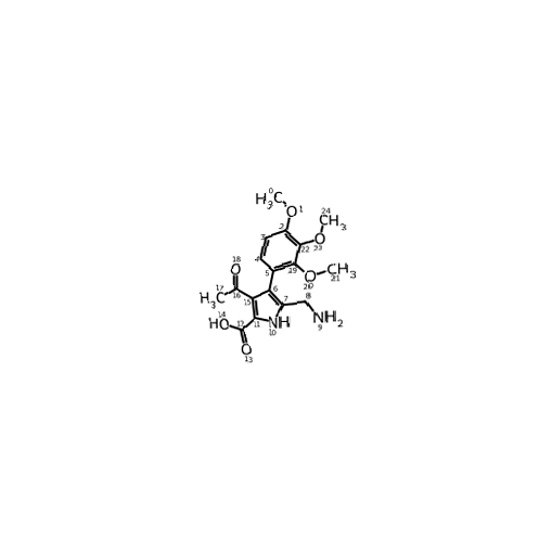 COc1ccc(-c2c(CN)[nH]c(C(=O)O)c2C(C)=O)c(OC)c1OC